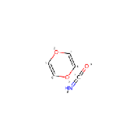 C1=COC=CO1.N=C=O